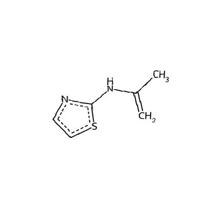 C=C(C)Nc1nccs1